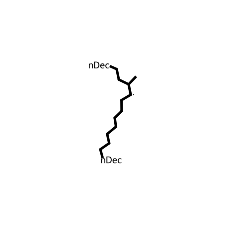 CCCCCCCCCCCCCCCCC[CH]C(C)CCCCCCCCCCCC